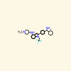 CN1CCC(Nc2cccc3c2cc(-c2ccc(C(N)C4CCCCC4)cc2)n3CC(F)(F)F)CC1